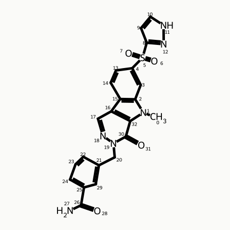 Cn1c2cc(S(=O)(=O)c3cc[nH]n3)ccc2c2cnn(Cc3cccc(C(N)=O)c3)c(=O)c21